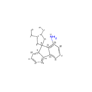 CCCCC1(CCCC)c2ccccc2-c2cccc(N)c21